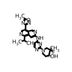 Cc1nc(-c2cnc(C(C)C)c3cc(Nc4ccnc(N5CC[C@@H](O)[C@@](C)(F)C5)n4)ncc23)no1